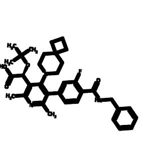 Cc1nc(C)c([C@H](OC(C)(C)C)C(=O)O)c(N2CCC3(CCC3)CC2)c1-c1ccc(C(=O)NCc2ccccc2)c(F)c1